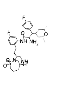 C[C@@H]1CC(C(c2ccc(F)cc2)C(N)C(=O)Nc2cc(F)ccc2CC[C@H]2CN[C@@H]3CCCS(=O)(=O)N2C3)C[C@H](C)O1